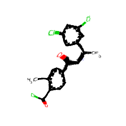 Cc1cc(C(=O)/C=C(\c2cc(Cl)cc(Cl)c2)C(F)(F)F)ccc1C(=O)Cl